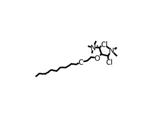 CCCCCCCCCCCCOC(C(Cl)[N+](C)(C)C)C(Cl)[N+](C)(C)C